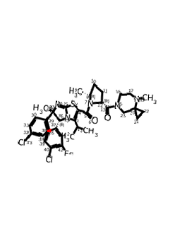 CC(C)C1=C(C(=O)N2[C@H](C)CC[C@@H]2C(=O)N2CCN(C)C3(CC3)C2)SC2=N[C@@](C)(c3ccc(Cl)cc3)[C@@H](c3ccc(Cl)c(F)c3)N21